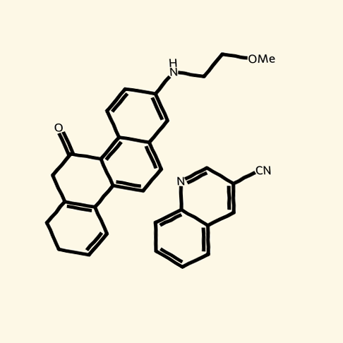 COCCNc1ccc2c3c(ccc2c1)C1=C(CCC=C1)CC3=O.N#Cc1cnc2ccccc2c1